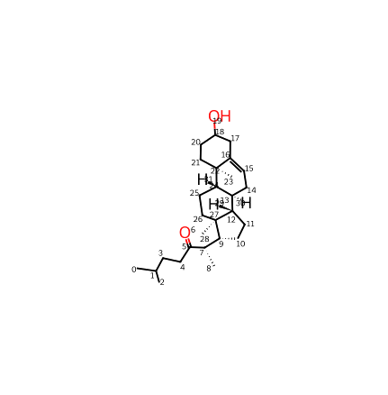 CC(C)CCC(=O)[C@@H](C)[C@H]1CC[C@H]2[C@@H]3CC=C4CC(O)CC[C@]4(C)[C@H]3CC[C@]12C